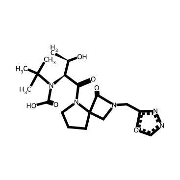 C[C@@H](O)[C@@H](C(=O)N1CCCC12CN(Cc1nnco1)C2=O)N(C(=O)O)C(C)(C)C